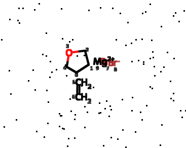 C1CCOC1.C=C.[Br-].[Br-].[Mg+2]